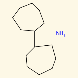 C1CCCC(C2CCCCCC2)CC1.N